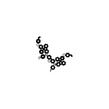 C=CC1=CCC(Oc2ccc(C3(C4=CCCC=C4)C4=C(C=CCC4)C4CCC(N(C5=CC6OC7CC(N(C8=CC9=C(CC8)C8=C(C=CCC8)C9(C8=CCC(Oc9ccc(C=C)cc9)C=C8)c8ccccc8)c8ccc(F)cc8)C=CC7C6C=C5)C5CC=C(F)CC5)=CC43)cc2)C=C1